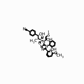 COc1cc#cc(-c2nnc(N(/C=C/SI)S(=O)(=O)[C@H](C)[C@@H](O)c3ccc(C#N)cc3)n2-c2c(O)cccc2O)n1